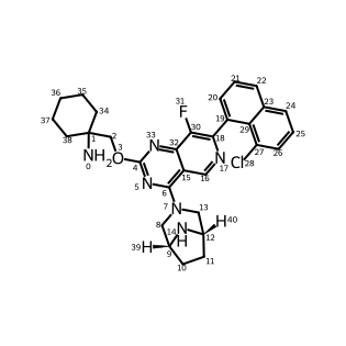 NC1(COc2nc(N3C[C@H]4CC[C@@H](C3)N4)c3cnc(-c4cccc5cccc(Cl)c45)c(F)c3n2)CCCCC1